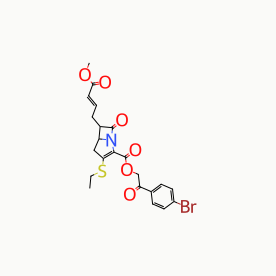 CCSC1=C(C(=O)OCC(=O)c2ccc(Br)cc2)N2C(=O)C(C/C=C/C(=O)OC)C2C1